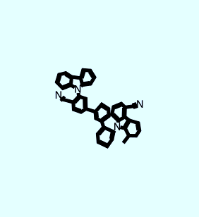 CC1CC=Cc2c1n(-c1ccccc1-c1cccc(-c3ccc(C#N)c(-n4c5ccccc5c5ccccc54)c3)c1)c1cccc(C#N)c21